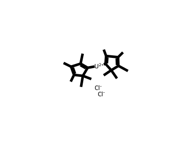 CC1=C(C)C(C)(C)[C]([U+2][C]2=C(C)C(C)=C(C)C2(C)C)=C1C.[Cl-].[Cl-]